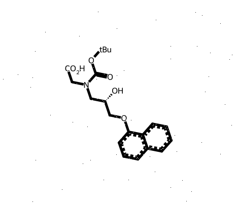 CC(C)(C)OC(=O)N(CC(=O)O)C[C@H](O)COc1cccc2ccccc12